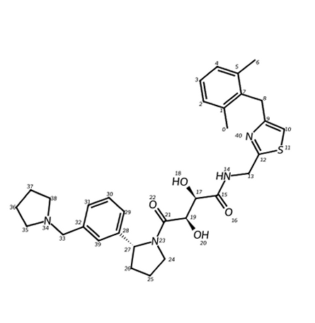 Cc1cccc(C)c1Cc1csc(CNC(=O)[C@H](O)[C@@H](O)C(=O)N2CCC[C@@H]2c2cccc(CN3CCCC3)c2)n1